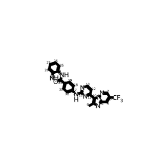 Cc1nc2cc(C(F)(F)F)cnn2c1-c1ccnc(Nc2ccc(C(=O)Nc3ccccc3N)cc2)n1